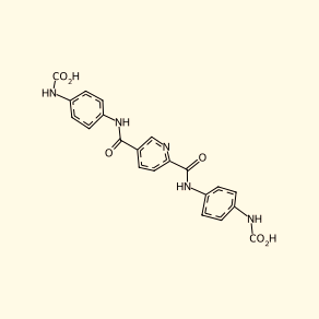 O=C(O)Nc1ccc(NC(=O)c2ccc(C(=O)Nc3ccc(NC(=O)O)cc3)nc2)cc1